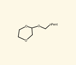 CCCCCCOC1COCCO1